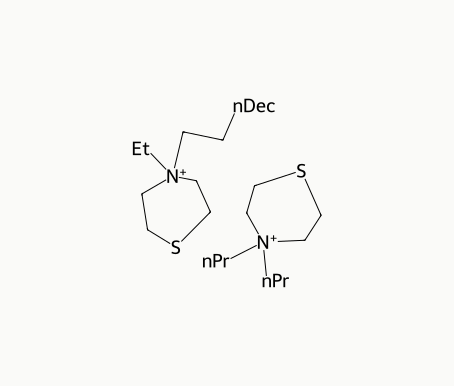 CCCCCCCCCCCC[N+]1(CC)CCSCC1.CCC[N+]1(CCC)CCSCC1